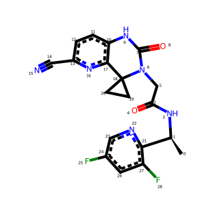 C[C@H](NC(=O)CN1C(=O)Nc2ccc(C#N)nc2C12CC2)c1ncc(F)cc1F